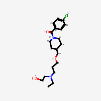 CCN(CCO)CCCOCC1CCN(C(=O)c2ccc(Cl)cc2)CC1